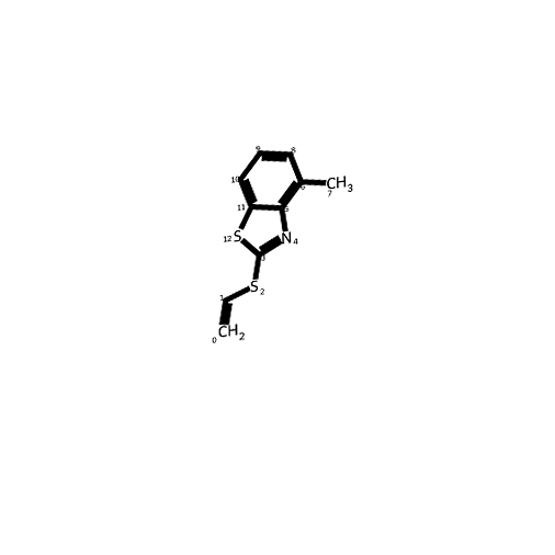 C=CSc1nc2c(C)cccc2s1